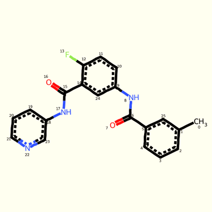 Cc1cccc(C(=O)Nc2ccc(F)c(C(=O)Nc3cccnc3)c2)c1